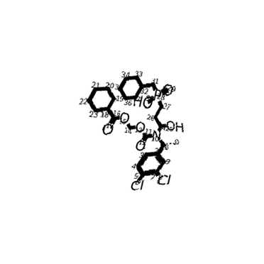 C[C@H](c1ccc(Cl)c(Cl)c1)N(C(=O)OCOC(=O)C1CCCCC1)C(O)CCP(=O)(O)CC1CCCCC1